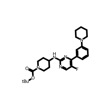 CC(C)(C)OC(=O)N1CCC(Nc2ncc(F)c(-c3cccc(N4CCCCC4)c3)n2)CC1